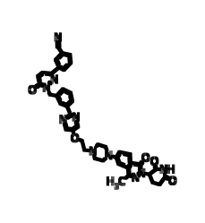 Cc1nn(C2CCC(=O)NC2=O)c(=O)c2ccc(N3CCN(CCOc4cnc(-c5cccc(Cn6nc(-c7cccc(C#N)c7)ccc6=O)c5)nc4)CC3)cc12